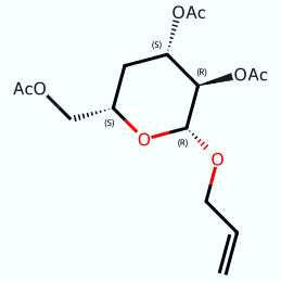 C=CCO[C@@H]1O[C@H](COC(C)=O)C[C@H](OC(C)=O)[C@H]1OC(C)=O